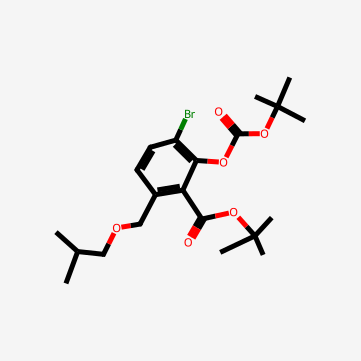 CC(C)COCc1ccc(Br)c(OC(=O)OC(C)(C)C)c1C(=O)OC(C)(C)C